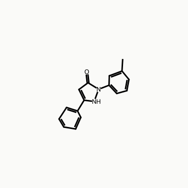 Cc1cccc(-n2[nH]c(-c3ccccc3)cc2=O)c1